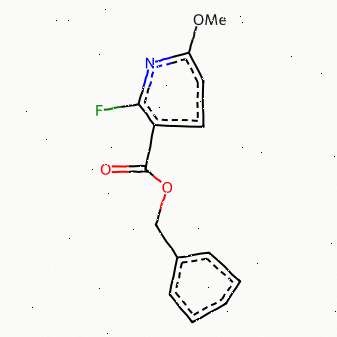 COc1ccc(C(=O)OCc2ccccc2)c(F)n1